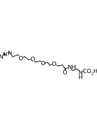 [N-]=[N+]=NCCOCCOCCOCCOCCC(=O)NCCNC(=O)O